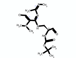 C\N=C(C)/N=C(NC[C@@H](C=O)NC(=O)OC(C)(C)C)\C(=C\Cl)N(C)C